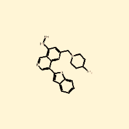 NC1CCN(Cc2cc(NO)c3cncc(-c4cc5ccccc5o4)c3c2)CC1